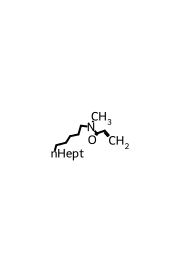 C=CC(=O)N(C)CCCCCCCCCCCC